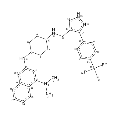 CN(C)c1cc(NC2CCC(NCc3c[nH]nc3-c3ccc(C(F)(F)F)cc3)CC2)nc2ccccc12